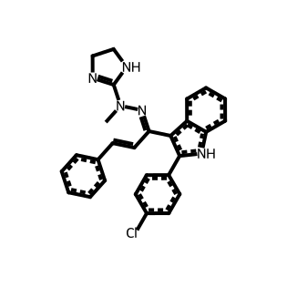 CN(N=C(C=Cc1ccccc1)c1c(-c2ccc(Cl)cc2)[nH]c2ccccc12)C1=NCCN1